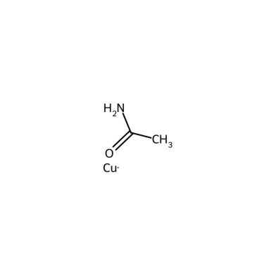 CC(N)=O.[Cu]